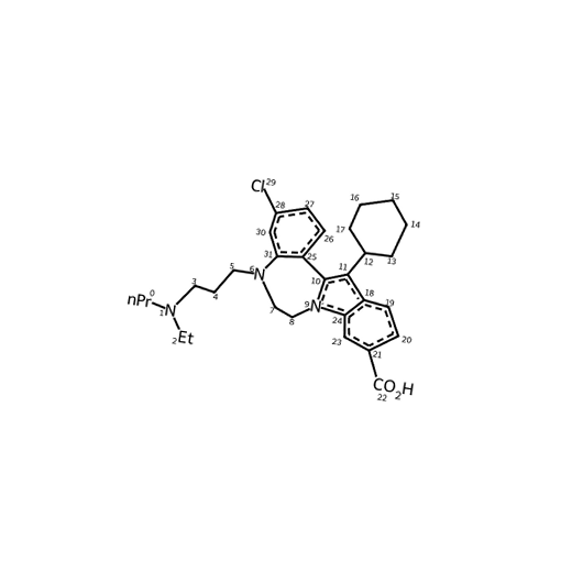 CCCN(CC)CCCN1CCn2c(c(C3CCCCC3)c3ccc(C(=O)O)cc32)-c2ccc(Cl)cc21